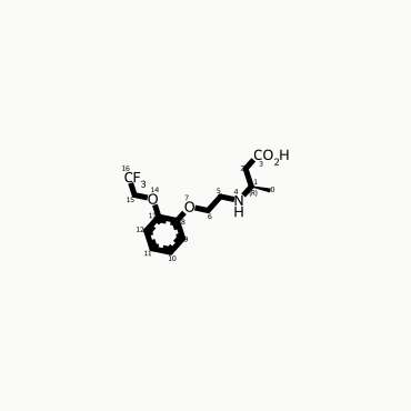 C[C@H](CC(=O)O)NCCOc1ccccc1OCC(F)(F)F